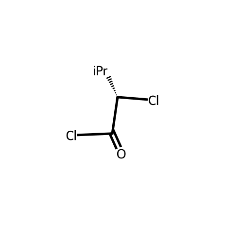 CC(C)[C@H](Cl)C(=O)Cl